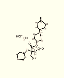 CC(C)CC(NC=O)(OC1CCCCC1)C(=O)ON1CCN(C2CCNCC2)CC1.Cl.Cl